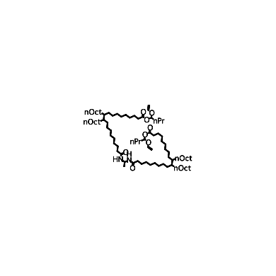 C=COC(CCC)OC(=O)CCCCCCCCC(CCCCCCCC)C(CCCCCCCC)CCCCCCCCC(=O)NC(C)NC(=O)CCCCCCCCC(CCCCCCCC)C(CCCCCCCC)CCCCCCCCC(=O)OC(CCC)OC=C